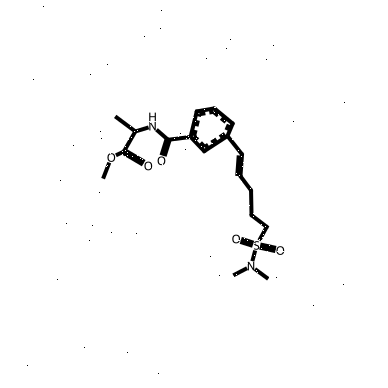 COC(=O)C(C)NC(=O)c1cccc(/C=C/CCCS(=O)(=O)N(C)C)c1